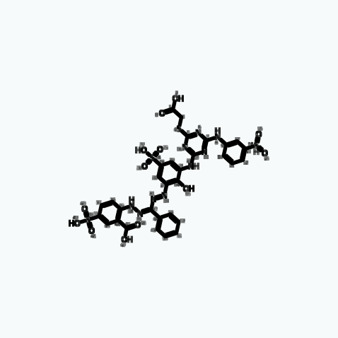 O=C(O)CSc1nc(Nc2cccc([SH](=O)=O)c2)nc(Nc2cc(S(=O)(=O)O)cc(/N=N/C(=N\Nc3ccc(S(=O)(=O)O)cc3C(=O)O)c3ccccc3)c2O)n1